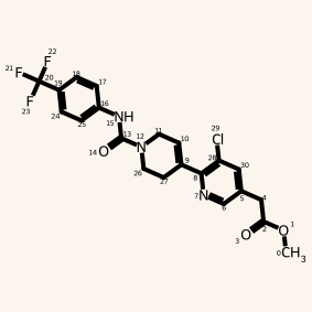 COC(=O)Cc1cnc(C2=CCN(C(=O)Nc3ccc(C(F)(F)F)cc3)CC2)c(Cl)c1